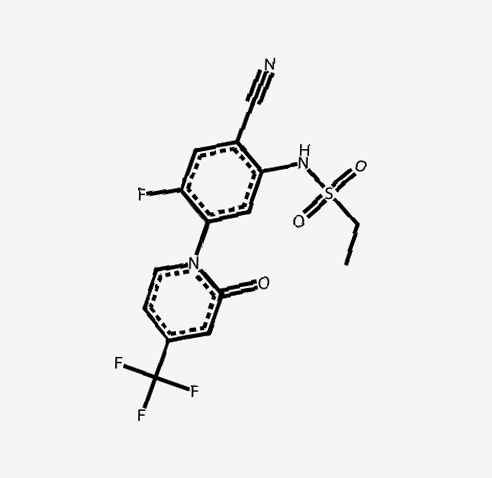 CCS(=O)(=O)Nc1cc(-n2ccc(C(F)(F)F)cc2=O)c(F)cc1C#N